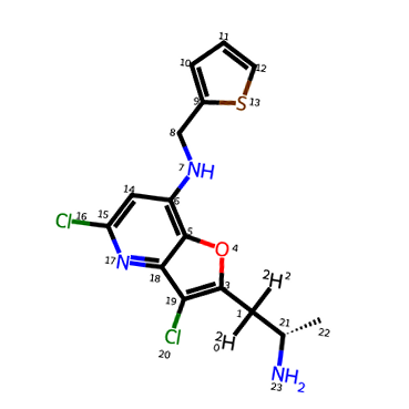 [2H]C([2H])(c1oc2c(NCc3cccs3)cc(Cl)nc2c1Cl)[C@H](C)N